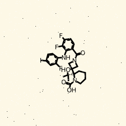 CC(C)(C)[C@]1(C2(O)CN(C(=O)c3ccc(F)c(F)c3Nc3ccc(I)cc3F)C2)CCCCN1C(=O)O